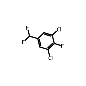 Fc1c(Cl)cc(C(F)F)cc1Cl